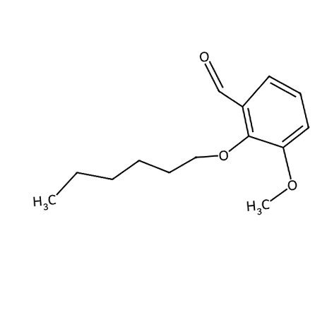 CCCCCCOc1c(C=O)cccc1OC